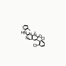 Cc1ccsc1Nc1ncc2cc(-c3c(Cl)cccc3Cl)c(=O)n(C)c2n1